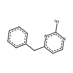 [2H]c1nccc(Cc2ccccc2)n1